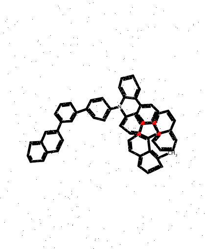 Cc1cccc2ccc3c4cc(-c5ccccc5N(c5ccc(-c6cccc(-c7ccc8ccccc8c7)c6)cc5)c5cccc(-c6cccc7ccccc67)c5)ccc4oc3c12